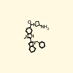 Cn1c(-c2cc3ccccc3n2Cc2ccccc2)nc2cc(C(=O)N3CCC(N)C3)ccc21